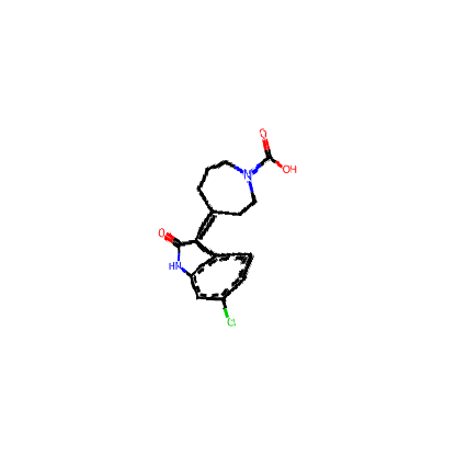 O=C1Nc2cc(Cl)ccc2C1=C1CCCN(C(=O)O)CC1